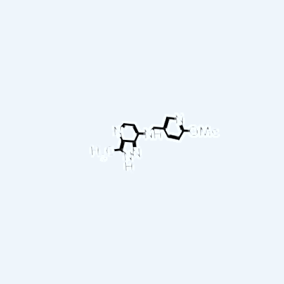 COc1ccc(CNc2ccnc3c(C)[nH]nc23)cn1